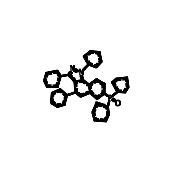 O=P(c1ccccc1)(c1ccccc1)c1ccc2c(c1)cc(-c1ccccc1)c1c(-c3ccccc3)nn(-c3ccccc3)c12